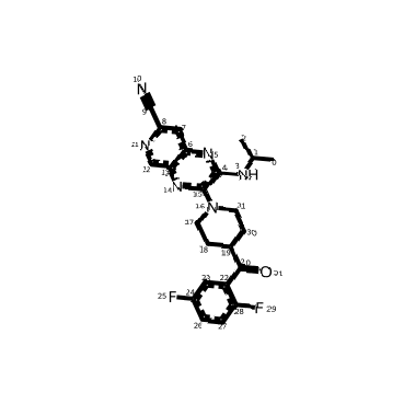 CC(C)Nc1nc2cc(C#N)ncc2nc1N1CCC(C(=O)c2cc(F)ccc2F)CC1